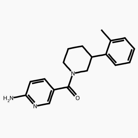 Cc1ccccc1C1CCCN(C(=O)c2ccc(N)nc2)C1